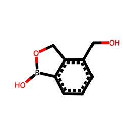 OCc1cccc2c1COB2O